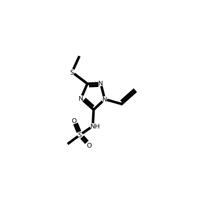 C=Cn1nc(SC)nc1NS(C)(=O)=O